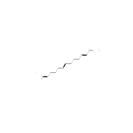 CC(O)=CCCCC=CCCCC=CCO